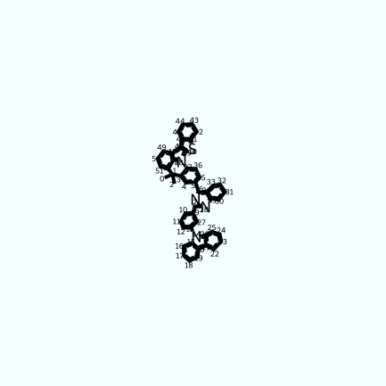 CC1(C)c2cc(-c3nc(-c4cccc(-n5c6ccccc6c6ccccc65)c4)nc4ccccc34)ccc2-n2c3sc4ccccc4c3c3cccc1c32